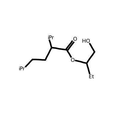 CCC(CO)OC(=O)C(CCC(C)C)C(C)C